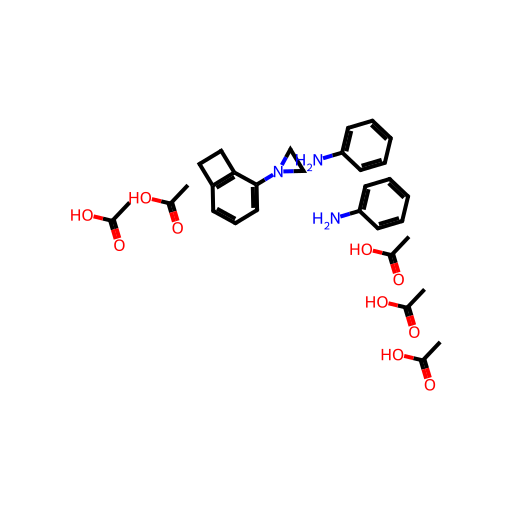 CC(=O)O.CC(=O)O.CC(=O)O.CC(=O)O.CC(=O)O.Nc1ccccc1.Nc1ccccc1.c1cc2c(c(N3CC3)c1)CC2